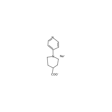 O=C([O-])C1CCN(c2ccncc2)CC1.[Na+]